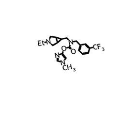 CCN1CC2C(C1)C2CN(Cc1cccc(C(F)(F)F)c1)C(=O)Oc1cn(C)cn1